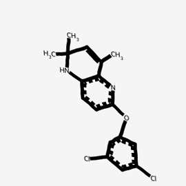 CC1=CC(C)(C)Nc2ccc(Oc3cc(Cl)cc(Cl)c3)nc21